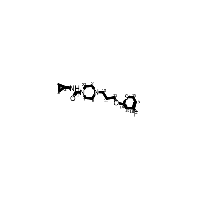 O=C(NC1CC1)N1CCN(CCCOC2=CC(F)=CCS2)CC1